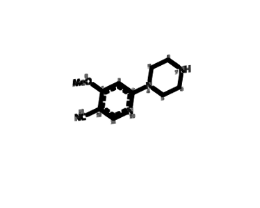 COc1cc(N2CCNCC2)ncc1C#N